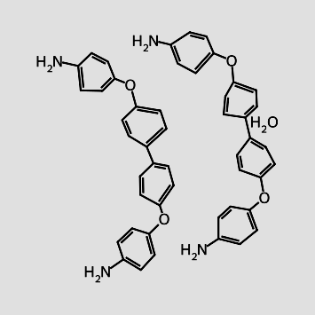 Nc1ccc(Oc2ccc(-c3ccc(Oc4ccc(N)cc4)cc3)cc2)cc1.Nc1ccc(Oc2ccc(-c3ccc(Oc4ccc(N)cc4)cc3)cc2)cc1.O